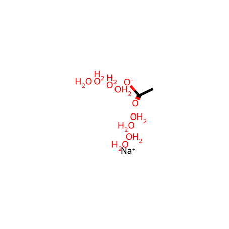 CC(=O)[O-].O.O.O.O.O.O.O.O.[Na+]